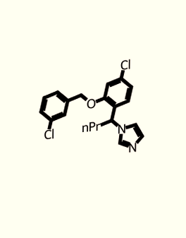 CCCC(c1ccc(Cl)cc1OCc1cccc(Cl)c1)n1ccnc1